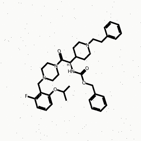 CC(C)Oc1cccc(F)c1CN1CCN(C(=O)[C@H](NC(=O)OCc2ccccc2)C2CCN(CCc3ccccc3)CC2)CC1